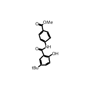 COC(=O)c1ccc(NC(=O)c2cc(C(C)(C)C)ccc2O)cc1